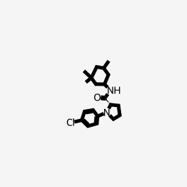 CC1CC(NC(=O)[C@@H]2CCCN2c2ccc(Cl)cc2)CC(C)(C)C1